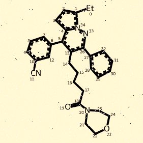 CCc1ccc2c(-c3cccc(C#N)c3)c(CCCCC(=O)N3CCOCC3)c(-c3ccccc3)nn12